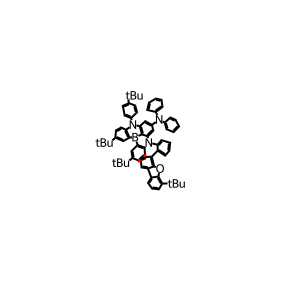 CC(C)(C)c1ccc(N2c3ccc(C(C)(C)C)cc3B3c4cc(C(C)(C)C)ccc4N(c4ccccc4-c4cccc5c4oc4c(C(C)(C)C)cccc45)c4cc(N(c5ccccc5)c5ccccc5)cc2c43)cc1